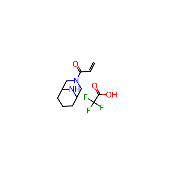 C=CC(=O)N1CC2CCCC(C1)N2.O=C(O)C(F)(F)F